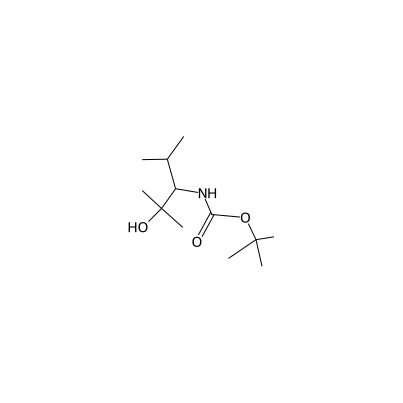 CC(C)C(NC(=O)OC(C)(C)C)C(C)(C)O